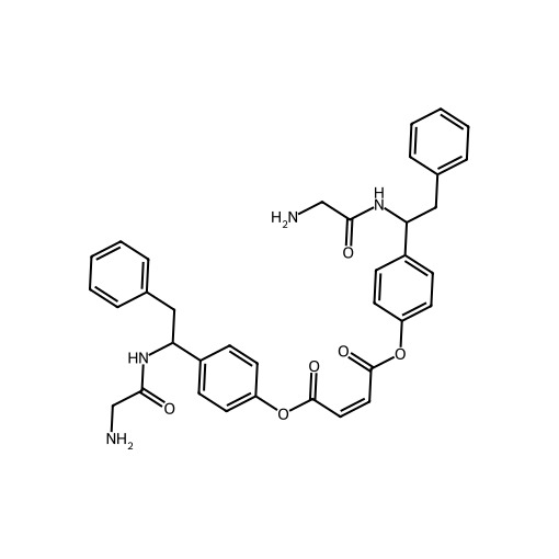 NCC(=O)NC(Cc1ccccc1)c1ccc(OC(=O)/C=C\C(=O)Oc2ccc(C(Cc3ccccc3)NC(=O)CN)cc2)cc1